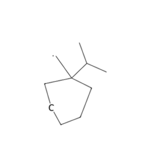 [CH2]C1(C(C)C)CCCCC1